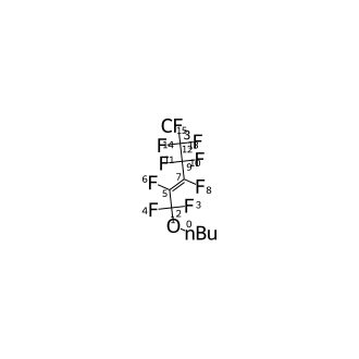 CCCCOC(F)(F)C(F)=C(F)C(F)(F)C(F)(F)C(F)(F)F